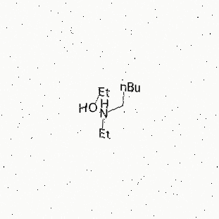 CCCCCNCC.CCO